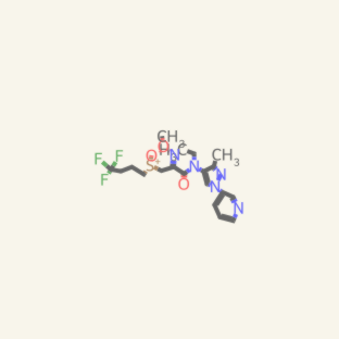 CCN(C(=O)C(C[S+]([O-])CCCC(F)(F)F)=NOC)c1cn(-c2cccnc2)nc1C